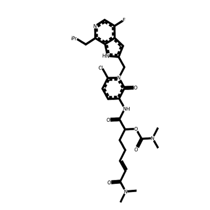 CC(C)Cc1ncc(F)c2cc(Cn3c(Cl)ccc(NC(=O)C(CCC=CC(=O)N(C)C)OC(=O)N(C)C)c3=O)[nH]c12